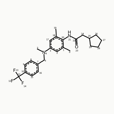 Cc1cc(N(C)Cc2ccc(C(F)(F)F)cc2)cc(C)c1NC(=O)CC1CCCC1